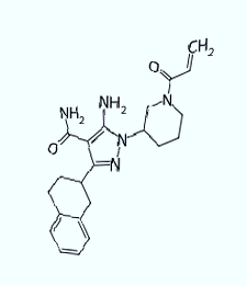 C=CC(=O)N1CCCC(n2nc(C3CCc4ccccc4C3)c(C(N)=O)c2N)C1